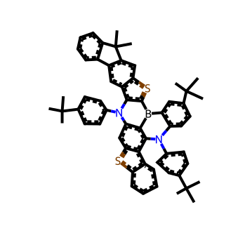 CC(C)(C)c1ccc(N2c3cc4sc5ccccc5c4c4c3B(c3cc(C(C)(C)C)ccc3N4c3ccc(C(C)(C)C)cc3)c3sc4cc5c(cc4c32)-c2ccccc2C5(C)C)cc1